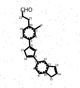 Cc1cc(C2=CC(c3ccc4c(c3)C=CC4)=CC2)ccc1CCC=O